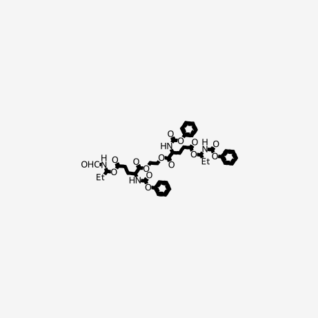 CCC(NC=O)OC(=O)CCC(NC(=O)Oc1ccccc1)C(=O)OCCOC(=O)C(CCC(=O)OC(CC)NC(=O)Oc1ccccc1)NC(=O)Oc1ccccc1